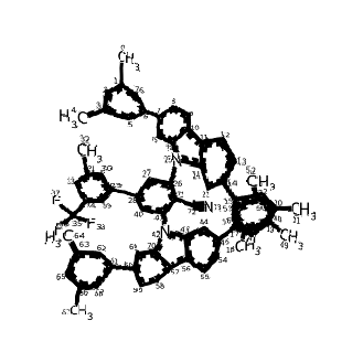 Cc1cc(C)cc(-c2ccc3c4ccc(-c5cc(C)cc(C)c5)cc4n(-c4cc(-c5cc(C)cc(C(F)(F)F)c5)cc(-n5c6cc(-c7cc(C)cc(C)c7)ccc6c6ccc(-c7cc(C)cc(C)c7)cc65)c4C#N)c3c2)c1